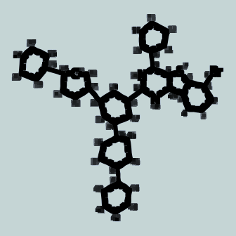 Brc1cccc2c1sc1c(-c3ccccc3)nc(-c3cc(-c4ccc(-c5ccccc5)cc4)cc(-c4ccc(-c5ccccc5)cc4)c3)nc12